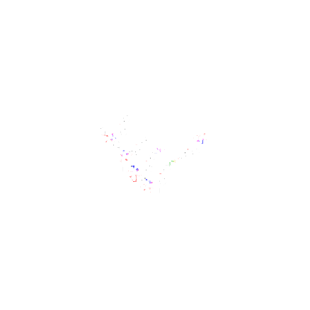 CC12N=C(Cc3ccccc3C(=O)c3ccc(Cl)cc3)OC1(C)OCO2.CC12N=C(Cc3ccccc3C(=O)c3ccc([N+](=O)[O-])cc3)OC1(C)OCO2.CCC12N=C(Cc3ccccc3C(=O)c3ccccc3)OC1(CC)OCO2.COc1ccc(C(=O)c2ccccc2CC2=NC3(C)OCOC3(C)O2)cc1.O=C(c1ccccc1)c1ccccc1CC1=NC2(c3ccccc3)OCOC2(c2ccccc2)O1